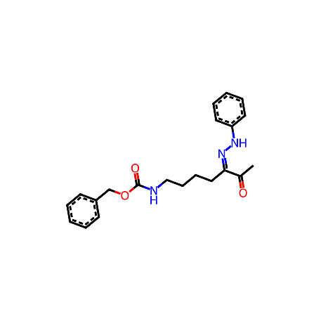 CC(=O)C(CCCCNC(=O)OCc1ccccc1)=NNc1ccccc1